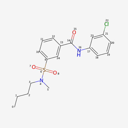 CCCCN(C)S(=O)(=O)c1cccc(C(=O)Nc2cccc(Cl)c2)c1